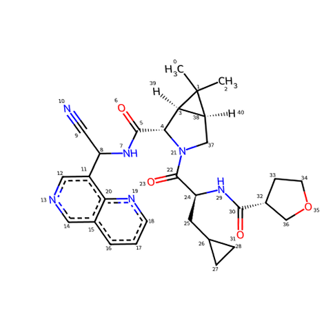 CC1(C)[C@@H]2[C@@H](C(=O)NC(C#N)c3cncc4cccnc34)N(C(=O)[C@H](CC3CC3)NC(=O)[C@@H]3CCOC3)C[C@@H]21